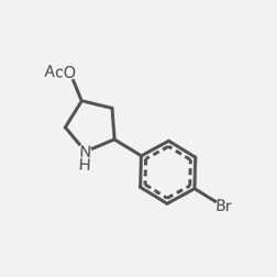 CC(=O)OC1CNC(c2ccc(Br)cc2)C1